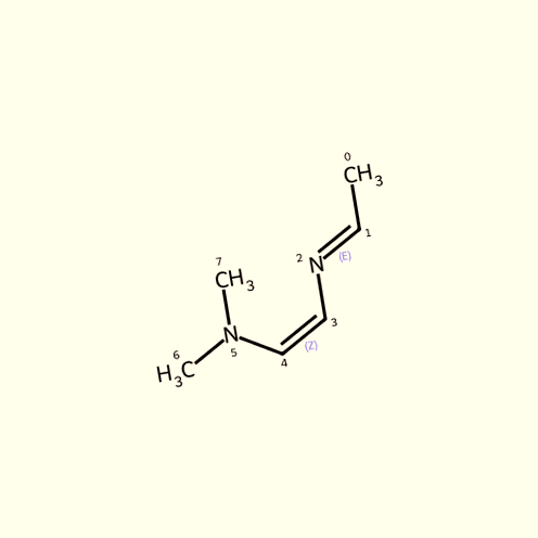 C/C=N/C=C\N(C)C